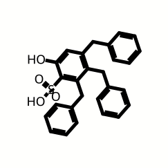 O=S(=O)(O)c1c(O)cc(Cc2ccccc2)c(Cc2ccccc2)c1Cc1ccccc1